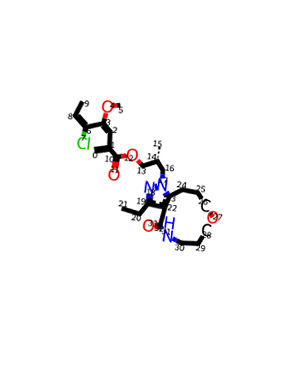 C=C(/C=C(OC)\C(Cl)=C/C)C(=O)OC[C@H](C)Cn1nc(CC)c2c1CCCOCCCNC2=O